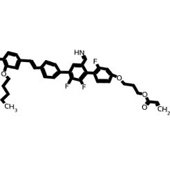 C=CC(=O)OCCCOc1ccc(-c2c(C=N)cc(-c3ccc(/C=C/c4ccc(F)c(OCCCCC)c4)cc3)c(F)c2F)c(F)c1